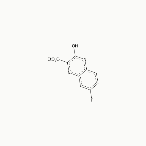 CCOC(=O)c1nc2cc(F)ccc2nc1O